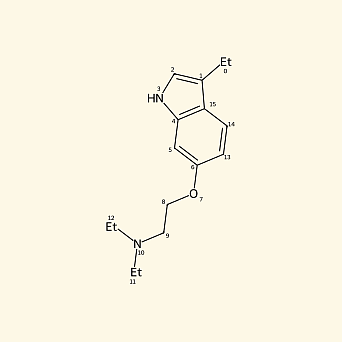 CCc1c[nH]c2cc(OCCN(CC)CC)ccc12